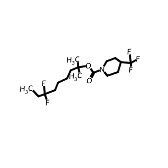 CCC(F)(F)CCCCC(C)(C)OC(=O)N1CCC(C(F)(F)F)CC1